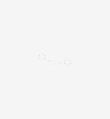 CN1C/C(=C\c2ccc(F)c(F)c2)C(=O)/C(=C/c2ccc(F)c(F)c2)C1